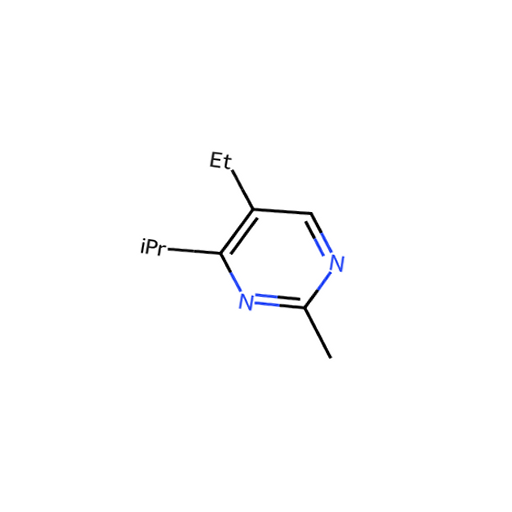 CCc1cnc(C)nc1C(C)C